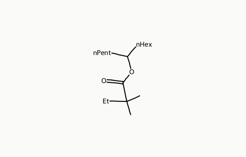 CCCCCCC(CCCCC)OC(=O)C(C)(C)CC